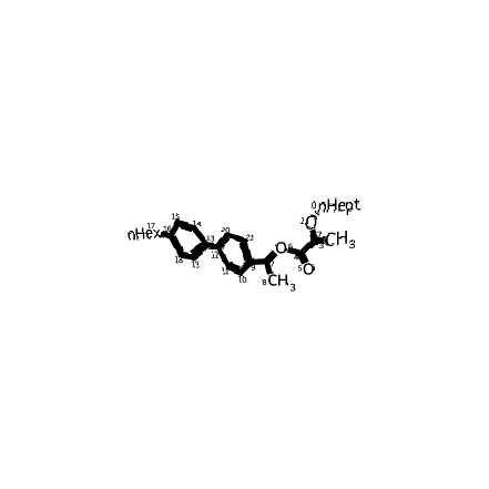 CCCCCCCOC(C)C(=O)OC(C)c1ccc(-c2ccc(CCCCCC)cc2)cc1